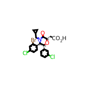 O=C(O)C[C@@H]1O[C@H](c2cccc(Cl)c2)[C@@H](c2ccc(Cl)cc2Br)N(CC2CC2)C1=O